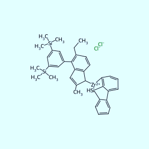 CCc1ccc2c(c1-c1cc([Si](C)(C)C)cc([Si](C)(C)C)c1)C=C(C)[CH]2[Zr+2]1[c]2cccc3c2[SiH]1c1ccccc1-3.[Cl-].[Cl-]